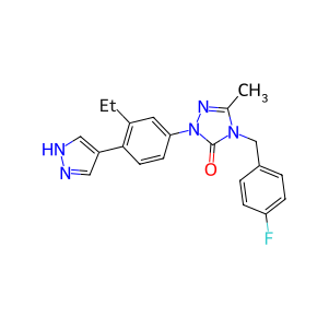 CCc1cc(-n2nc(C)n(Cc3ccc(F)cc3)c2=O)ccc1-c1cn[nH]c1